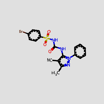 Cc1nn(-c2ccccc2)c(NC(=O)NS(=O)(=O)c2ccc(Br)cc2)c1C#N